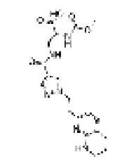 COC(=O)N[C@@H](CNC(=O)c1cnn(CCc2ccc3c(n2)NCCC3)c1)C(=O)O